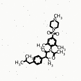 CC(=O)N(C(=O)C(C)c1ccc(CC(C)C)cc1)c1c(C)cc(S(=O)(=O)N2CCN(C)CC2)cc1C